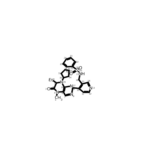 CCC1C(=O)N(C)c2cnc(-c3ccncc3CNS(=O)(=O)c3ccccc3)nc2N1C1CCCC1